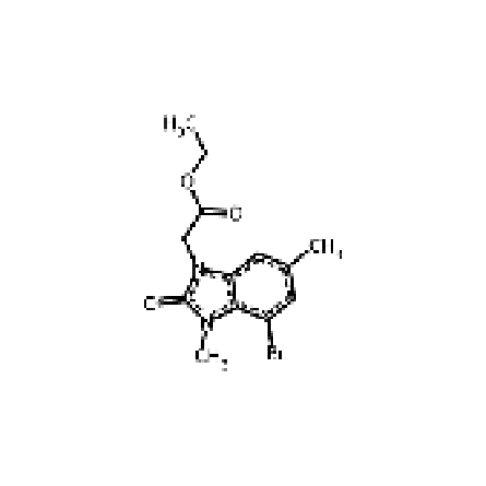 CCOC(=O)Cn1c(=O)n(C)c2c(Br)cc(C)cc21